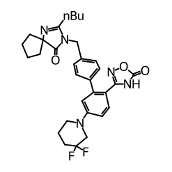 CCCCC1=NC2(CCCC2)C(=O)N1Cc1ccc(-c2cc(N3CCCC(F)(F)C3)ccc2-c2noc(=O)[nH]2)cc1